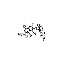 CC(C)(C)OC(=O)NC[C@@]12CN(c3c(F)cc4c(=O)cc(C(=O)O)n(C5CC5)c4c3C#N)C[C@H]1CCO2